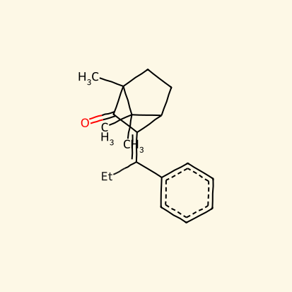 CCC(=C1C(=O)C2(C)CCC1C2(C)C)c1ccccc1